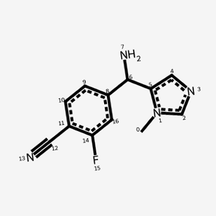 Cn1cncc1C(N)c1ccc(C#N)c(F)c1